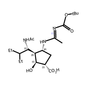 CCC(CC)[C@H](NC(C)=O)[C@@H]1[C@H](O)[C@@H](C(=O)O)C[C@H]1N/C(C)=N/C(=O)OC(C)(C)C